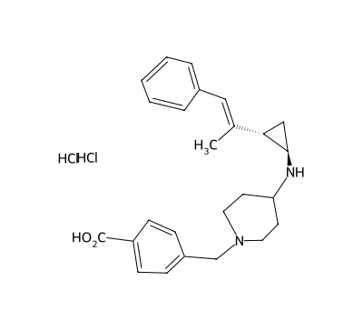 C/C(=C\c1ccccc1)[C@@H]1C[C@H]1NC1CCN(Cc2ccc(C(=O)O)cc2)CC1.Cl.Cl